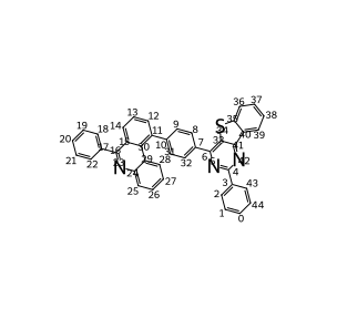 c1ccc(-c2nc(-c3ccc(-c4cccc5c(-c6ccccc6)nc6ccccc6c45)cc3)c3sc4ccccc4c3n2)cc1